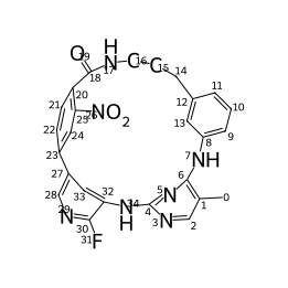 Cc1cnc2nc1Nc1cccc(c1)CCCNC(=O)c1ccc(cc1[N+](=O)[O-])-c1cnc(F)c(c1)N2